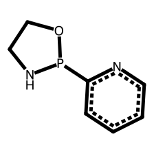 c1ccc(P2NCCO2)nc1